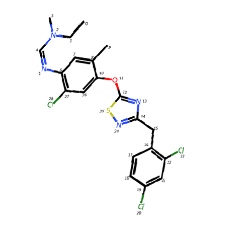 CCN(C)/C=N\c1cc(C)c(Oc2nc(Cc3ccc(Cl)cc3Cl)ns2)cc1Cl